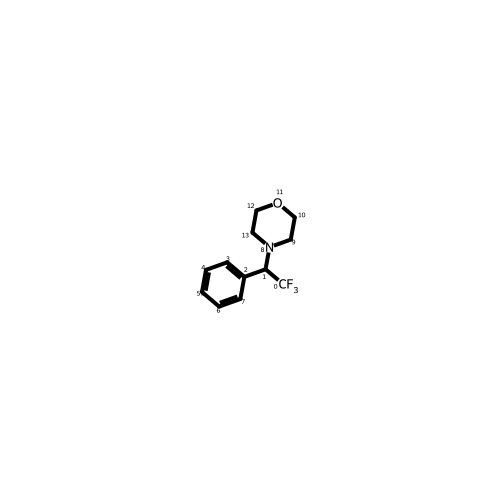 FC(F)(F)C(c1cc[c]cc1)N1CCOCC1